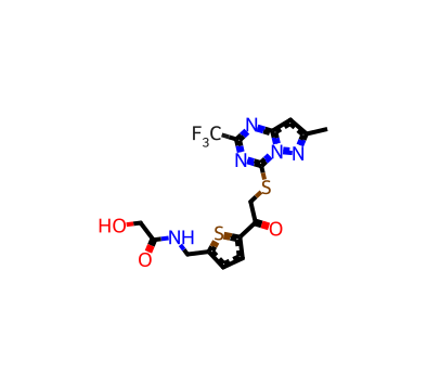 Cc1cc2nc(C(F)(F)F)nc(SCC(=O)c3ccc(CNC(=O)CO)s3)n2n1